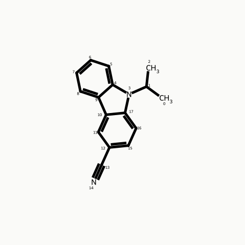 CC(C)n1c2ccccc2c2cc(C#N)ccc21